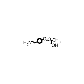 CC(CO)OCOc1ccc(CCN)cc1